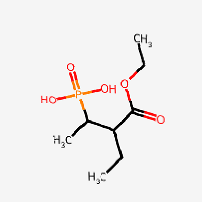 CCOC(=O)C(CC)C(C)P(=O)(O)O